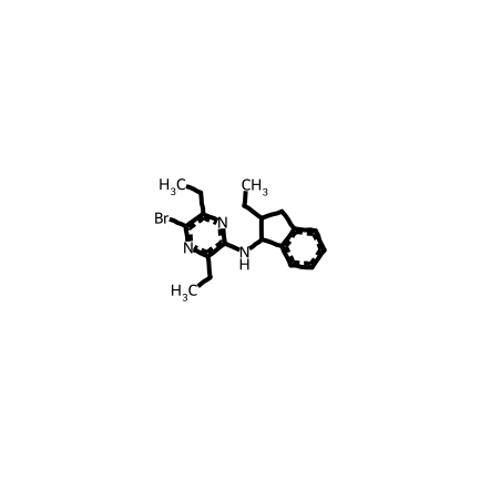 CCc1nc(NC2c3ccccc3CC2CC)c(CC)nc1Br